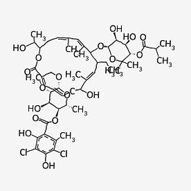 CCC1/C=C(\C)C(O)C/C=C/C=C(\CO[C@@H]2O[C@H](C)[C@@H](OC(=O)c3c(C)c(Cl)c(O)c(Cl)c3O)[C@@H](O)[C@@H]2OC)C(=O)OC(C(C)O)C/C=C(C)/C=C(\C)C1O[C@@H]1OC(C)(C)[C@@H](OC(=O)C(C)C)[C@H](O)[C@@H]1O